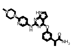 C=C(C(N)=O)c1cccc(Oc2nc(Nc3ccc(N4CCN(C)CC4)nc3)nc3[nH]ccc23)c1